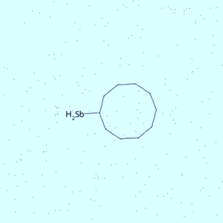 [SbH2][CH]1CCCCCCCCC1